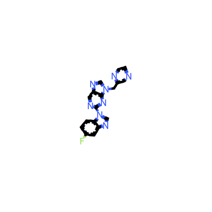 Fc1ccc2c(c1)ncn2-c1ncc2ncn(Cc3cnccn3)c2n1